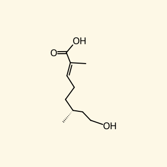 C/C(=C\CC[C@@H](C)CCO)C(=O)O